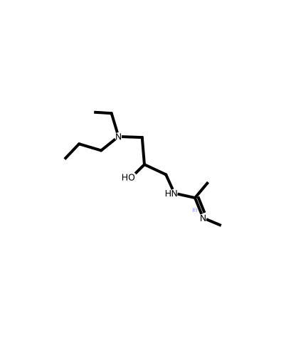 CCCN(CC)CC(O)CN/C(C)=N/C